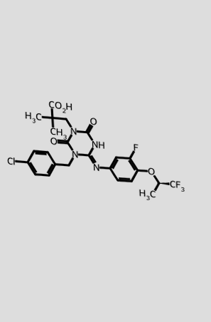 C[C@@H](Oc1ccc(/N=c2\[nH]c(=O)n(CC(C)(C)C(=O)O)c(=O)n2Cc2ccc(Cl)cc2)cc1F)C(F)(F)F